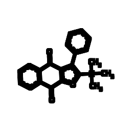 C[Si](C)(C)c1oc2c(c1-c1ccccc1)C(=O)c1ccccc1C2=O